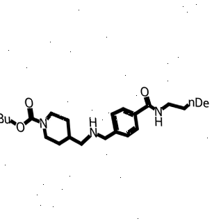 CCCCCCCCCCCCNC(=O)c1ccc(CNCC2CCN(C(=O)OC(C)(C)C)CC2)cc1